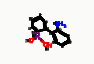 Nc1ccccc1-c1ccccc1[PH](=O)O